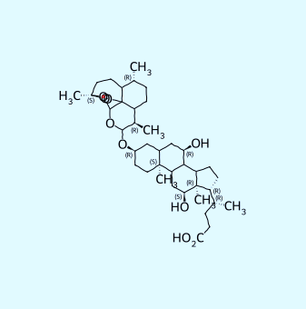 C[C@H]1C(O[C@@H]2CC[C@@]3(C)C(C2)C[C@@H](O)C2C3C[C@H](O)[C@@]3(C)C2CC[C@@H]3[C@H](C)CCC(=O)O)OC2O[C@]3(C)CCC4[C@H](C)CCC1C24OO3